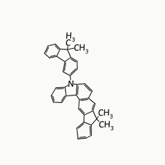 CC1(C)c2ccccc2-c2cc(-n3c4ccccc4c4c5cc6c(cc5ccc43)C(C)(C)c3ccccc3-6)ccc21